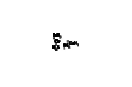 S.S.[Cu].[GaH3].[InH3]